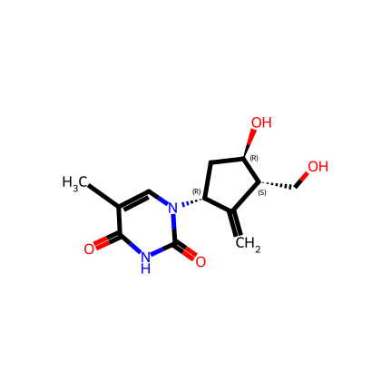 C=C1[C@@H](CO)[C@H](O)C[C@H]1n1cc(C)c(=O)[nH]c1=O